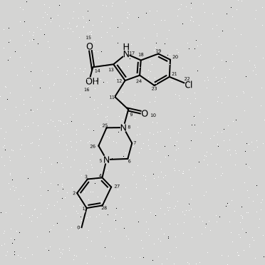 Cc1ccc(N2CCN(C(=O)Cc3c(C(=O)O)[nH]c4ccc(Cl)cc34)CC2)cc1